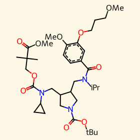 COCCCOc1cc(C(=O)N(CC2CN(C(=O)OC(C)(C)C)CC2CN(C(=O)OCC(C)(C)C(=O)OC)C2CC2)C(C)C)ccc1OC